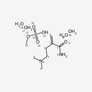 C=C(CCN(C)C)C(N)=O.COS(=O)(=O)O.O.O.O.O